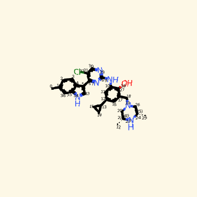 Cc1ccc2c(-c3nc(Nc4cc(C5CC5)cc(CN5C[C@@H](C)N[C@@H](C)C5)c4O)ncc3Cl)c[nH]c2c1